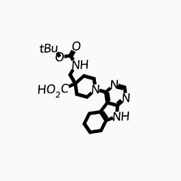 CC(C)(C)OC(=O)NCC1(C(=O)O)CCN(c2ncnc3[nH]c4c(c23)CCCC4)CC1